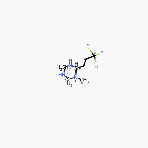 CN1[SiH2]N[SiH2]N[SiH]1CCC(F)(F)F